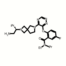 CCN(C(=O)c1cc(F)ccc1Oc1nncnc1N1CCC2(C1)CN([C@@H](CN)C(C)C)C2)C(C)C